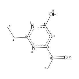 CCc1nc(O)cc(C(C)=O)n1